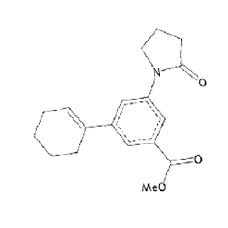 COC(=O)c1cc(C2=CCCCC2)cc(N2CCCC2=O)c1